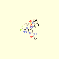 CN(c1ccccc1Nc1cc(NC(=O)C2CC2)nc2[nH]c(C(F)F)nc12)S(C)(=O)=O